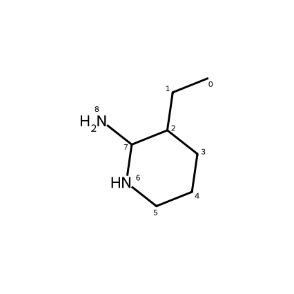 CCC1CCCNC1N